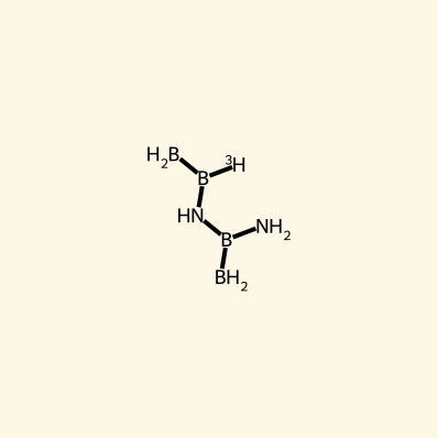 [3H]B(B)NB(B)N